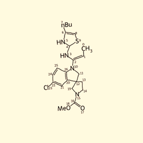 CC=C(NC1NC(CCCC)=CS1)N1CC2(CCN(C(=O)OC)C2)c2cc(Cl)ccc21